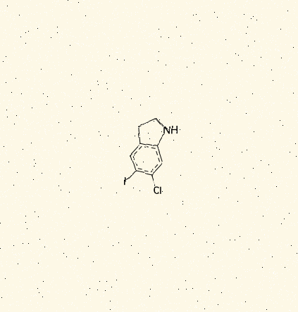 Clc1cc2c(cc1I)CCN2